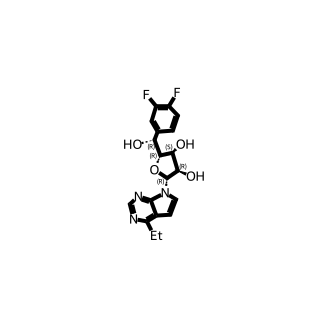 CCc1ncnc2c1ccn2[C@@H]1O[C@H]([C@H](O)c2ccc(F)c(F)c2)[C@@H](O)[C@H]1O